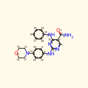 NC(=O)c1cnc(Nc2ccc(N3CCOCC3)cc2)nc1Nc1ccccc1